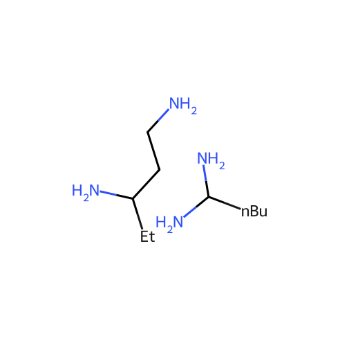 CCC(N)CCN.CCCCC(N)N